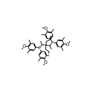 CCCC(CCC)(C(C)P(c1cc(C)c(OC)c(C)c1)c1cc(C)c(OC)c(C)c1)C(C)P(c1cc(C)c(OC)c(C)c1)c1cc(C)c(OC)c(C)c1